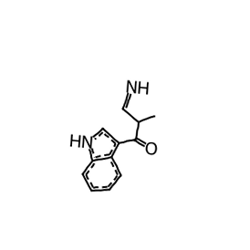 CC(C=N)C(=O)c1c[nH]c2ccccc12